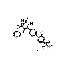 CN(C)S(=O)(=O)c1ccc(C2=CCC(c3[nH]c(=O)[nH]c(=O)c3Cc3ccccc3)CC2)c(Cl)c1